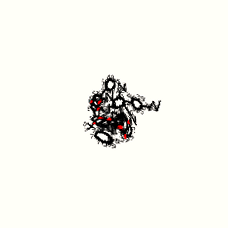 CC(C)(C)c1cc2c3ccccc3n(-c3c(-n4c5c(c6ccccc64)C=CCC5)c(C#N)c(-c4ccc(C#N)cc4)c(C#N)c3-n3c4ccccc4c4ccccc43)c2c2c3ccccc3n(-c3ccccc3)c12